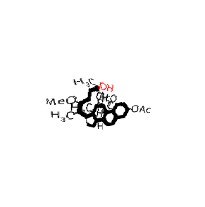 CO[C@H](CCC(C)(C)O)[C@@H](C)[C@H]1CC[C@H]2C3=CC=C4C[C@@H](OC(C)=O)C[C@H](OC(C)=O)[C@]4(C)[C@H]3CC[C@]12C